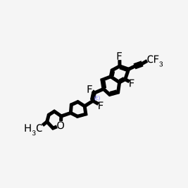 CC1CCC(C2CCC(/C(F)=C(\F)c3ccc4c(F)c(C#CC(F)(F)F)c(F)cc4c3)CC2)OC1